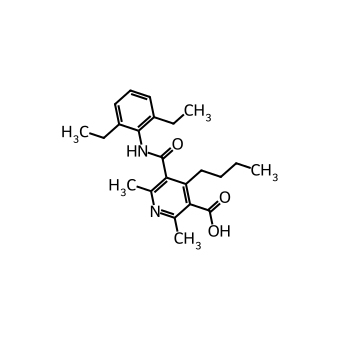 CCCCc1c(C(=O)O)c(C)nc(C)c1C(=O)Nc1c(CC)cccc1CC